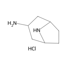 Cl.NC1CC2CCC(C1)N2